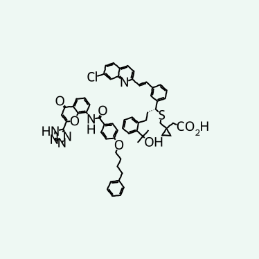 CC(C)(O)c1ccccc1CC[C@@H](SCC1(CC(=O)O)CC1)c1cccc(/C=C/c2ccc3ccc(Cl)cc3n2)c1.O=C(Nc1cccc2c(=O)cc(-c3nnn[nH]3)oc12)c1ccc(OCCCCc2ccccc2)cc1